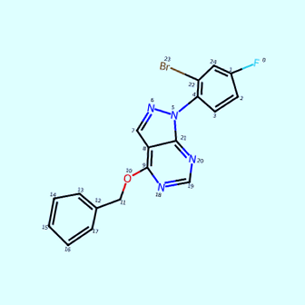 Fc1ccc(-n2ncc3c(OCc4ccccc4)ncnc32)c(Br)c1